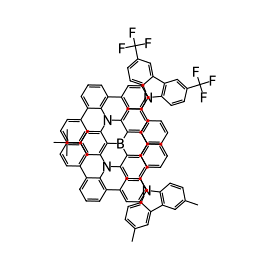 Cc1ccc2c(c1)c1cc(C)ccc1n2-c1cc(-c2ccccc2)c2c(c1)N(c1c(-c3ccccc3)cccc1-c1ccccc1)c1cc(C(C)(C)C)cc3c1B2c1c(-c2ccccc2)cc(-n2c4ccc(C(F)(F)F)cc4c4cc(C(F)(F)F)ccc42)cc1N3c1c(-c2ccccc2)cccc1-c1ccccc1